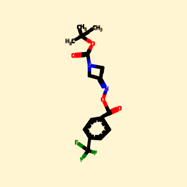 CC(C)(C)OC(=O)N1CC(=NOC(=O)c2ccc(C(F)(F)F)cc2)C1